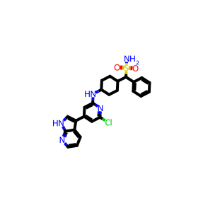 NS(=O)(=O)C(c1ccccc1)C1CCC(Nc2cc(-c3c[nH]c4ncccc34)cc(Cl)n2)CC1